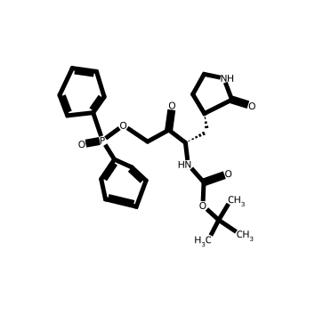 CC(C)(C)OC(=O)N[C@@H](C[C@@H]1CCNC1=O)C(=O)COP(=O)(c1ccccc1)c1ccccc1